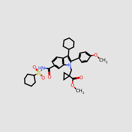 COC(=O)C1(Cn2c(-c3ccc(OC)cc3)c(C3CCCCC3)c3ccc(C(=O)NS(=O)(=O)C4CCCCC4)cc32)CC1